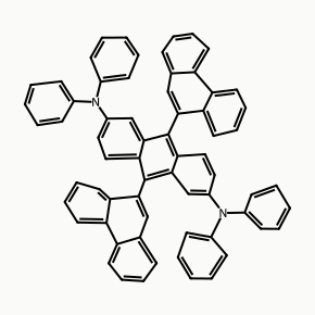 c1ccc(N(c2ccccc2)c2ccc3c(-c4cc5ccccc5c5ccccc45)c4cc(N(c5ccccc5)c5ccccc5)ccc4c(-c4cc5ccccc5c5ccccc45)c3c2)cc1